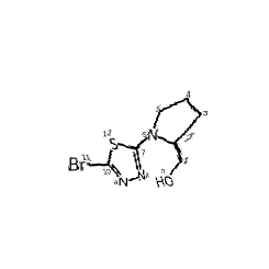 OCC1CCCN1c1nnc(Br)s1